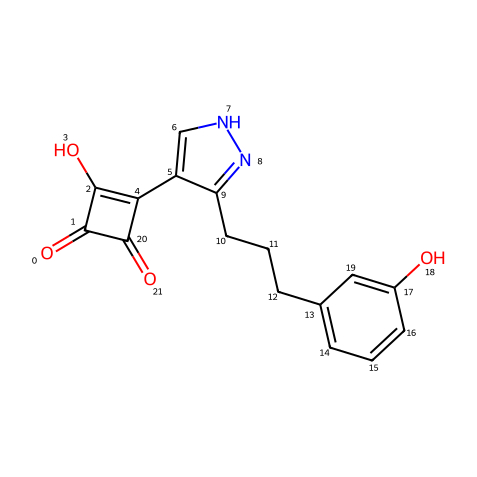 O=c1c(O)c(-c2c[nH]nc2CCCc2cccc(O)c2)c1=O